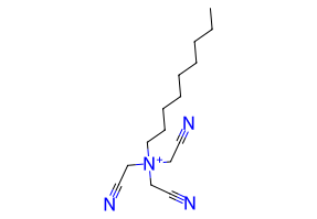 CCCCCCCCC[N+](CC#N)(CC#N)CC#N